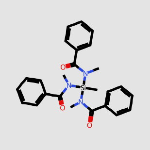 CN(C(=O)c1ccccc1)[Si](C)(N(C)C(=O)c1ccccc1)N(C)C(=O)c1ccccc1